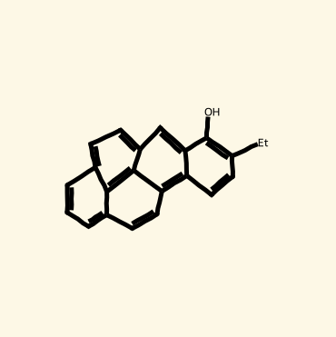 CCc1ccc2c(cc3ccc4cccc5ccc2c3c45)c1O